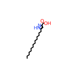 CCCCCCCCCCCCCCCc1cc(C(=O)O)n[nH]1